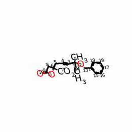 CC(C)(C#CCC1(C(=O)O)CC(=O)O1)OCc1ccccc1